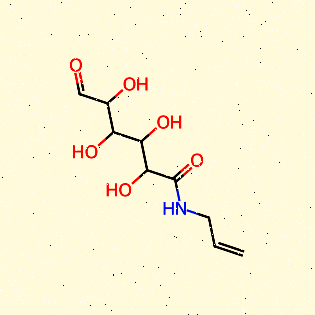 C=CCNC(=O)C(O)C(O)C(O)C(O)C=O